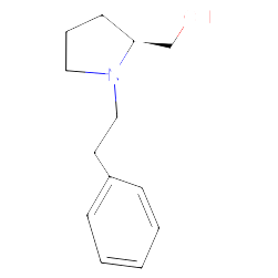 OC[C@@H]1CCCN1CCc1ccccc1